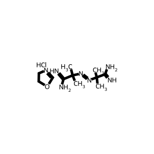 C1=NCCO1.CC(C)(N=NC(C)(C)C(=N)N)C(=N)N.Cl